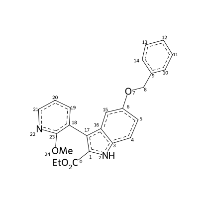 CCOC(=O)c1[nH]c2ccc(OCc3ccccc3)cc2c1-c1cccnc1OC